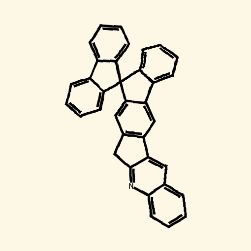 c1ccc2c(c1)-c1ccccc1C21c2ccccc2-c2cc3c(cc21)Cc1nc2ccccc2cc1-3